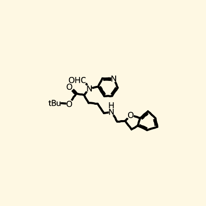 CC(C)(C)OC(=O)C(CCCNCC1Cc2ccccc2O1)N(C=O)c1cccnc1